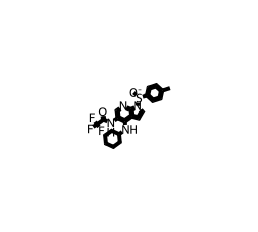 Cc1ccc([S+]([O-])n2ccc3c(NC4CCCCC4)c(NC(=O)C(F)(F)F)cnc32)cc1